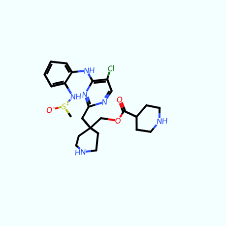 C[S+]([O-])Nc1ccccc1Nc1nc(CC2(COC(=O)C3CCNCC3)CCNCC2)ncc1Cl